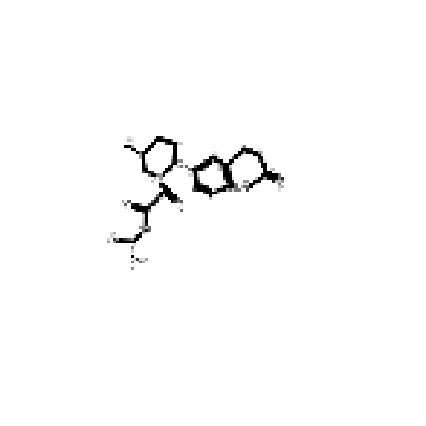 CN[C@@H](NC(=O)C(=O)N1C[C@@H](C)CC[C@@H]1c1ccc2c(c1)CCC(=O)N2)C(C)C